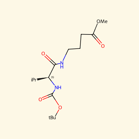 COC(=O)CCCNC(=O)[C@@H](NC(=O)OC(C)(C)C)C(C)C